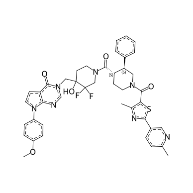 COc1ccc(-n2ccc3c(=O)n(CC4(O)CCN(C(=O)[C@H]5CCN(C(=O)c6sc(-c7ccc(C)nc7)nc6C)C[C@@H]5c5ccccc5)CC4(F)F)cnc32)cc1